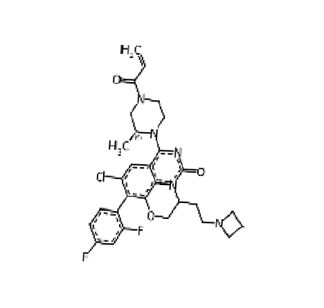 C=CC(=O)N1CCN(c2nc(=O)n3c4c(c(-c5ccc(F)cc5F)c(Cl)cc24)OCC3CCN2CCC2)[C@@H](C)C1